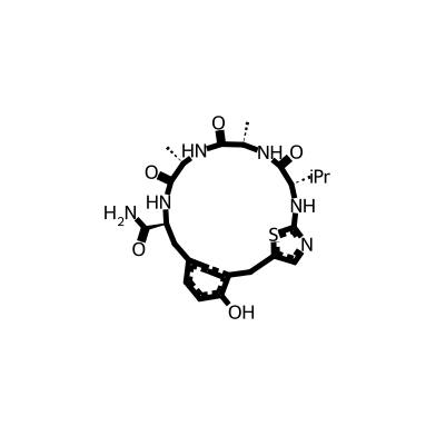 CC(C)[C@@H]1Nc2ncc(s2)Cc2cc(ccc2O)C[C@@H](C(N)=O)NC(=O)[C@H](C)NC(=O)[C@H](C)NC1=O